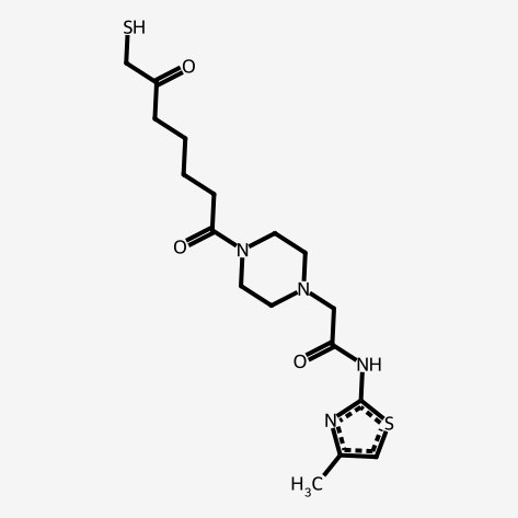 Cc1csc(NC(=O)CN2CCN(C(=O)CCCCC(=O)CS)CC2)n1